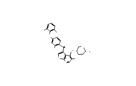 COc1cnc2[nH]cc(C(=O)c3ccc(Oc4c(F)cccc4F)cc3F)c2c1N[C@@H]1CC[C@@H](CN)OC1